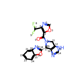 O=C(c1ocnc1C(F)F)N1Cc2[nH]cnc2[C@@H]1c1nc2ccccc2o1